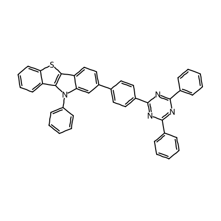 c1ccc(-c2nc(-c3ccccc3)nc(-c3ccc(-c4ccc5c6sc7ccccc7c6n(-c6ccccc6)c5c4)cc3)n2)cc1